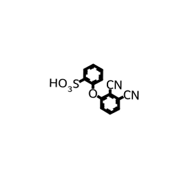 N#Cc1cccc(Oc2ccccc2S(=O)(=O)O)c1C#N